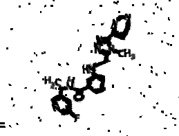 C[C@H](NC(=O)c1cccc(NCc2nnc(-c3ccncn3)n2C)c1)c1cncc(F)c1